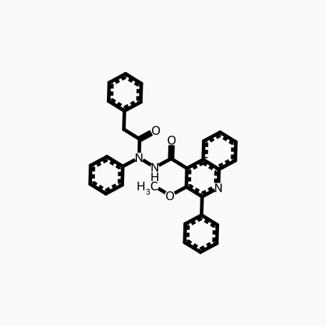 COc1c(-c2ccccc2)nc2ccccc2c1C(=O)NN(C(=O)Cc1ccccc1)c1ccccc1